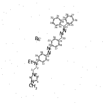 CCN(CC[n+]1ccn(C)c1)c1ccc(/N=N/c2ccc(/C=N/N=C3c4ccccc4-c4ccccc43)cc2)cc1.[Br-]